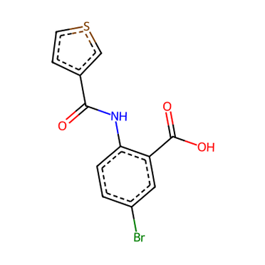 O=C(Nc1ccc(Br)cc1C(=O)O)c1ccsc1